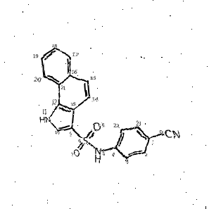 N#Cc1ccc(NS(=O)(=O)c2c[nH]c3c2ccc2ccccc23)cc1